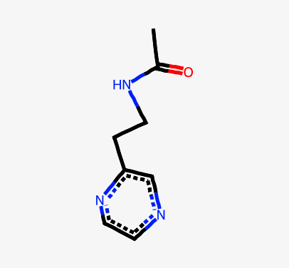 CC(=O)NCCc1cnccn1